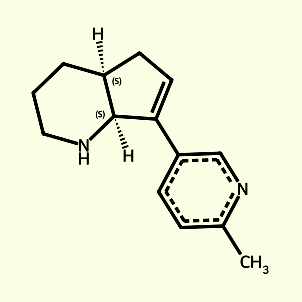 Cc1ccc(C2=CC[C@@H]3CCCN[C@H]23)cn1